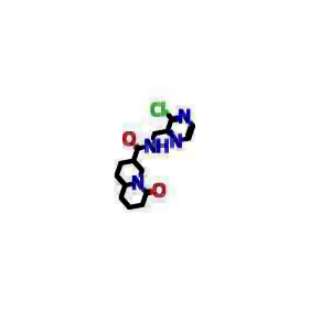 O=C(NCc1nccnc1Cl)C1CCC2CCCC(=O)N2C1